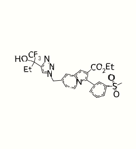 CCOC(=O)c1cc2cc(Cn3cc(C(O)(CC)C(F)(F)F)nn3)ccn2c1-c1cccc(S(C)(=O)=O)c1